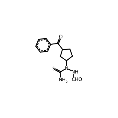 NC(=S)N(NC=O)C1CCC(C(=O)c2ccccc2)C1